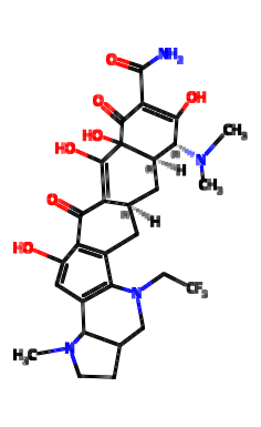 CN1CCC2CN(CC(F)(F)F)c3c(cc(O)c4c3C[C@@H]3C[C@@H]5[C@@H](N(C)C)C(O)=C(C(N)=O)C(=O)C5(O)C(O)=C3C4=O)C21